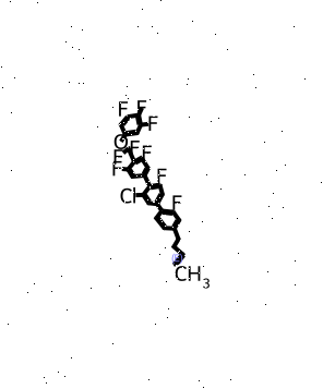 C/C=C/CCc1ccc(-c2cc(F)c(-c3cc(F)c(C(F)(F)Oc4cc(F)c(F)c(F)c4)c(F)c3)c(Cl)c2)c(F)c1